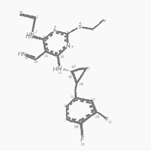 CCNc1nc(SCC)nc(N[C@@H]2CC2c2ccc(F)c(F)c2)c1C=N